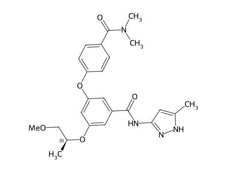 COC[C@H](C)Oc1cc(Oc2ccc(C(=O)N(C)C)cc2)cc(C(=O)Nc2cc(C)[nH]n2)c1